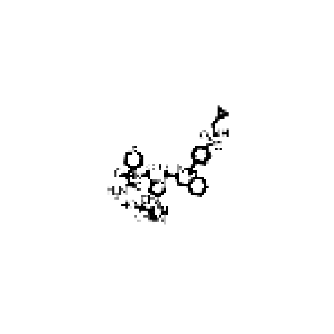 CC(C)(O)c1cnnn1[C@H]1C[C@@H](C(=O)NC2(C(=O)C(N)=O)CCSCC2)N(C(=O)/C(CC2CCCCC2)=N/C(=O)c2ccc(S(=O)(=O)NCC3CC3)cc2)C1